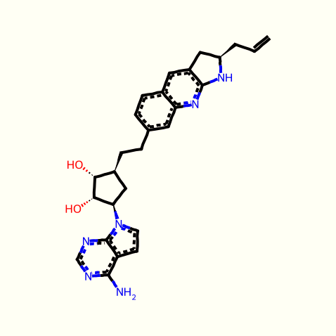 C=CC[C@@H]1Cc2cc3ccc(CC[C@H]4C[C@@H](n5ccc6c(N)ncnc65)[C@H](O)[C@@H]4O)cc3nc2N1